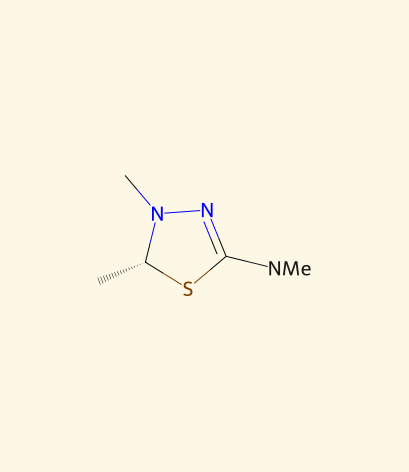 CNC1=NN(C)[C@@H](C)S1